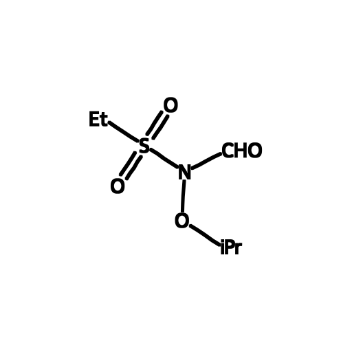 CCS(=O)(=O)N(C=O)OC(C)C